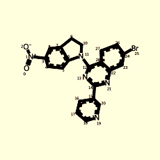 O=[N+]([O-])c1ccc2c(c1)CCN2c1nc(-c2cccnc2)nc2cc(Br)ccc12